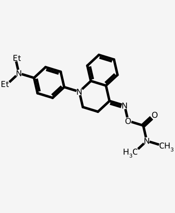 CCN(CC)c1ccc(N2CC/C(=N\OC(=O)N(C)C)c3ccccc32)cc1